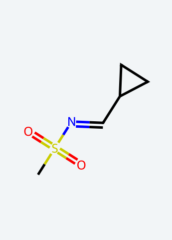 CS(=O)(=O)N=CC1CC1